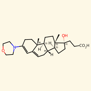 C[C@]12CCC(N3CCOCC3)=CC1=CC[C@@H]1[C@@H]2CC[C@@]2(C)[C@H]1CC[C@]2(O)CCC(=O)O